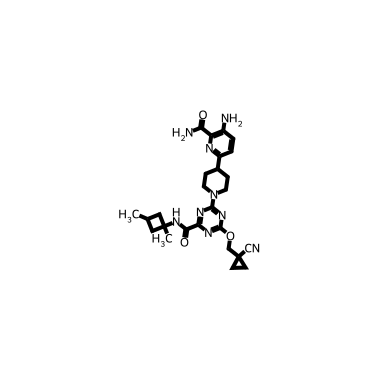 CC1CC(C)(NC(=O)c2nc(OCC3(C#N)CC3)nc(N3CCC(c4ccc(N)c(C(N)=O)n4)CC3)n2)C1